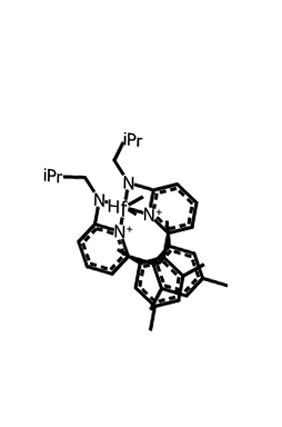 Cc1cc(C)c(-c2cccc3[n+]2[Hf]2([CH3])([CH3])([N]3CC(C)C)[N](CC(C)C)c3cccc(-c4c(C)cc(C)cc4C)[n+]32)c(C)c1